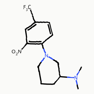 CN(C)C1CCCN(c2ccc(C(F)(F)F)cc2[N+](=O)[O-])C1